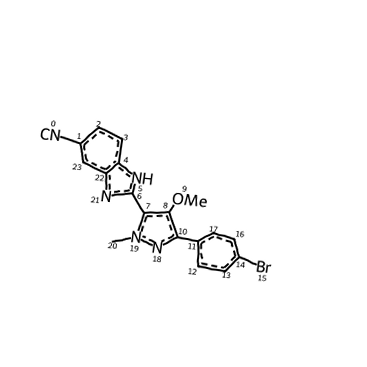 [C-]#[N+]c1ccc2[nH]c(-c3c(OC)c(-c4ccc(Br)cc4)nn3C)nc2c1